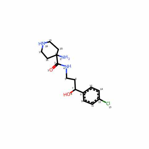 NC1(C(=O)NCCC(O)c2ccc(Cl)cc2)CCNCC1